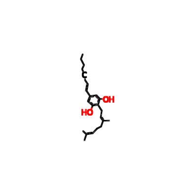 CCCCCC/C=C/c1cc(O)c(C/C=C(\C)CCC=C(C)C)c(O)c1